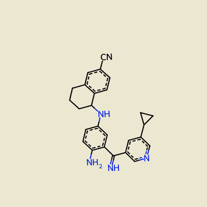 N#Cc1ccc2c(c1)CCCC2Nc1ccc(N)c(C(=N)c2cncc(C3CC3)c2)c1